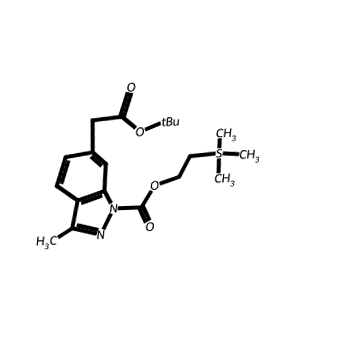 Cc1nn(C(=O)OCCS(C)(C)C)c2cc(CC(=O)OC(C)(C)C)ccc12